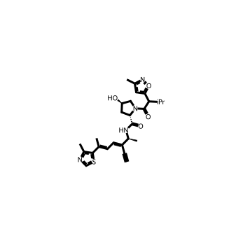 C#C/C(=C\C=C(/C)c1scnc1C)[C@H](C)NC(=O)[C@@H]1C[C@@H](O)CN1C(=O)C(c1cc(C)no1)C(C)C